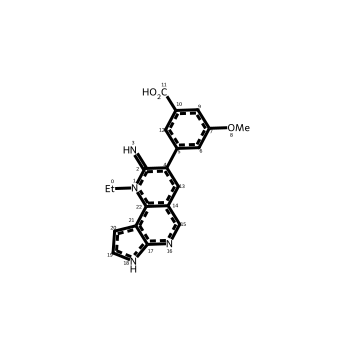 CCn1c(=N)c(-c2cc(OC)cc(C(=O)O)c2)cc2cnc3[nH]ccc3c21